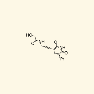 CC(C)n1cc(C#CCNC(=O)CO)c(=O)[nH]c1=O